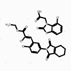 CCOC(=O)/C(Cl)=C/c1cc(N2C(=O)C3=C(CCCC3)C2=O)ccc1Cl.O=C(O)Cn1c(=O)sc2cccc(Cl)c21